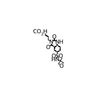 CC1(NS(=O)(=O)c2ccc3[nH]c(=O)n(CC=CC(=O)O)c(=O)c3c2)COC1